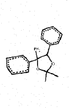 CC1(C)OC(c2ccccc2)C(P)(c2ccccc2)O1